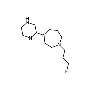 FCCCN1CCCN(C2CNCC[N]2)CC1